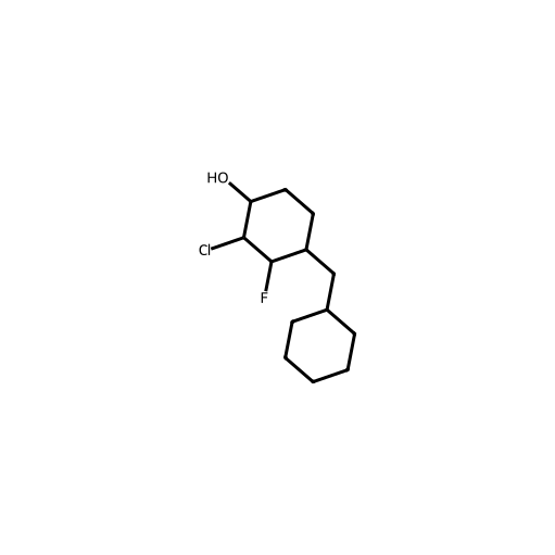 OC1CCC(CC2CCCCC2)C(F)C1Cl